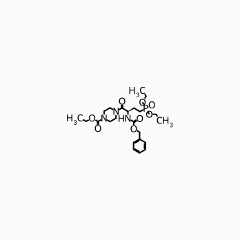 CCOC(=O)N1CCN(C(=O)[C@@H](CCP(=O)(OCC)OCC)NC(=O)OCc2ccccc2)CC1